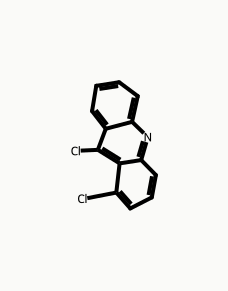 Clc1cccc2nc3ccccc3c(Cl)c12